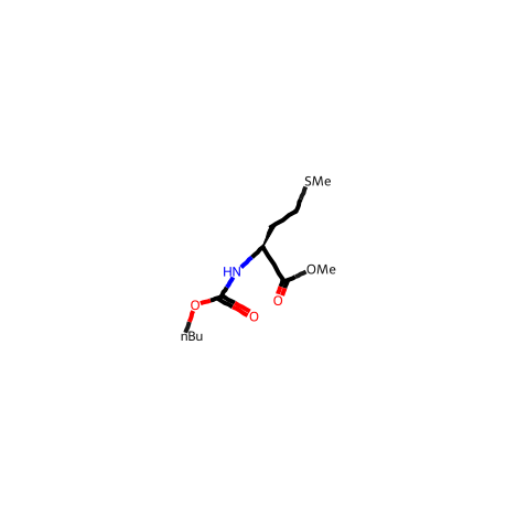 CCCCOC(=O)N[C@@H](CCSC)C(=O)OC